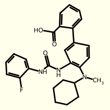 CN(c1ccc(-c2ccccc2C(=O)O)cc1NC(=O)Nc1ccccc1F)C1CCCCC1